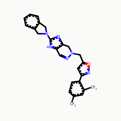 FC(F)(F)c1ccc(-c2cc(CN3Cc4nc(N5Cc6ccccc6C5)[nH]c4C=N3)on2)c(C(F)(F)F)c1